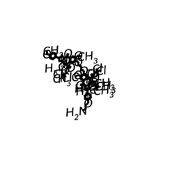 COc1ccc(C2=CN3C(=O)c4cc(OC)c(OCCCOc5cc6c(cc5OC)C(=O)N5C=C(c7ccc(OCCN)cc7)CC5[C@@H](O[Si](C)(C)C(C)(C)C)N6C(=O)OCC(Cl)(Cl)Cl)cc4N(C(=O)OCC(Cl)(Cl)Cl)[C@H](C)C3C2)cc1